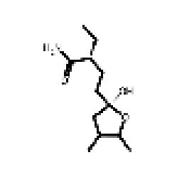 CC[C@@H](CC[C@]1(O)CC(C)C(C)O1)C(N)=O